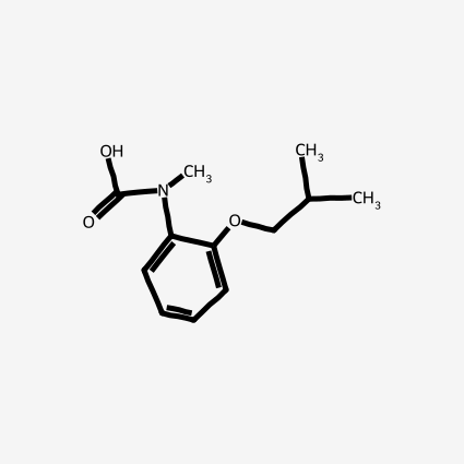 CC(C)COc1ccccc1N(C)C(=O)O